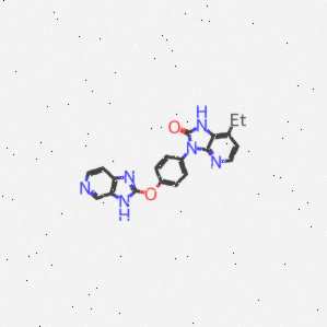 CCc1ccnc2c1[nH]c(=O)n2-c1ccc(Oc2nc3ccncc3[nH]2)cc1